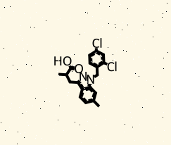 Cc1ccc2c(CC(C)C(=O)O)nn(Cc3ccc(Cl)cc3Cl)c2c1